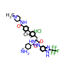 Cc1cc(C(=O)NC2CCN(C)CC2)ccc1-c1ccc(C[C@H](NC(=O)[C@H]2CC[C@H](CN)CC2)C(=O)Nc2ccc3[nH]c(C(F)(F)C(F)(F)F)nc3c2)cc1.Cl